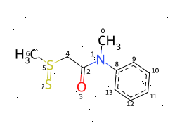 CN(C(=O)CS(C)=S)c1ccccc1